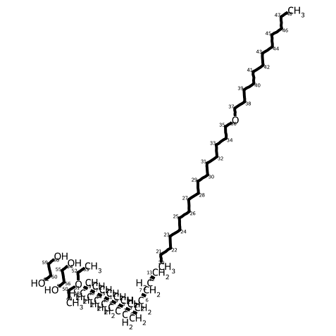 C=C.C=C.C=C.C=C.C=C.C=C.C=C.C=C.C=C.C=C.CCCCCCCCCCCCCCCCOCCCCCCCCCCCC.CCOCC.OCCO.OCCO